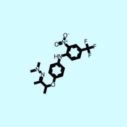 CC(=NN(C)C)C(C)Oc1ccc(Nc2ccc(C(F)(F)F)cc2[N+](=O)[O-])cc1